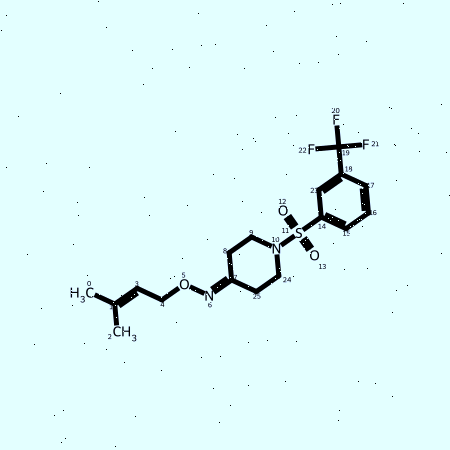 CC(C)=CCON=C1CCN(S(=O)(=O)c2cccc(C(F)(F)F)c2)CC1